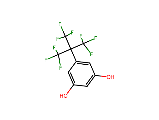 Oc1cc(O)cc(C(C(F)(F)F)(C(F)(F)F)C(F)(F)F)c1